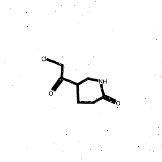 O=C1CCC(C(=O)CCl)CN1